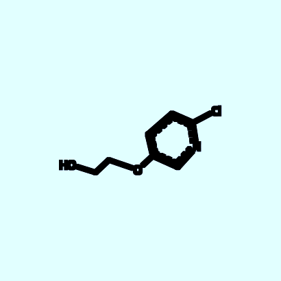 OCCOc1ccc(Cl)nc1